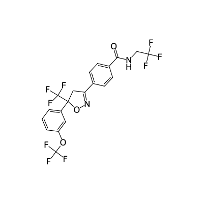 O=C(NCC(F)(F)F)c1ccc(C2=NOC(c3cccc(OC(F)(F)F)c3)(C(F)(F)F)C2)cc1